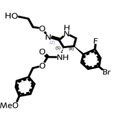 COc1ccc(COC(=O)N[C@@H]2/C(=N/OCCO)NC[C@H]2c2ccc(Br)cc2F)cc1